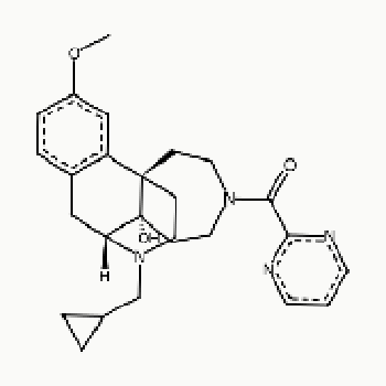 COc1ccc2c(c1)[C@@]13CCN(C(=O)c4ncccn4)CC[C@@]1(O)[C@@H](C2)N(CC1CC1)CC3